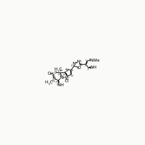 CN/C=C(\C=N)c1nnc(-c2cc(Cl)c([C@]3(C)C[S+]([O-])N(C)C(=N)N3)s2)o1